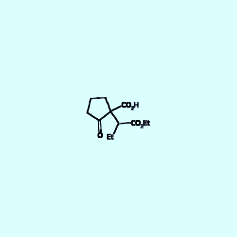 CCOC(=O)C(CC)C1(C(=O)O)CCCC1=O